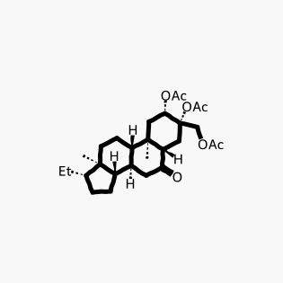 CC[C@H]1CC[C@H]2[C@@H]3CC(=O)[C@H]4C[C@@](COC(C)=O)(OC(C)=O)[C@@H](OC(C)=O)C[C@]4(C)[C@H]3CC[C@]12C